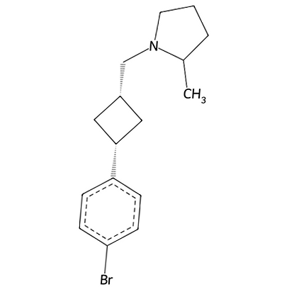 CC1CCCN1C[C@H]1C[C@@H](c2ccc(Br)cc2)C1